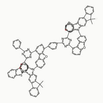 CC1(C)c2ccccc2-c2cc3c4ccccc4n(-c4ccc5oc6cccc(-c7nc(-c8ccccc8)nc(-c8ccc(-c9ccc(-c%10nc(-c%11ccccc%11)nc(-c%11ccc%12sc%13ccccc%13c%12c%11)n%10)c%10c9oc9ccc(-n%11c%12ccccc%12c%12cc%13c(cc%12%11)C(C)(C)c%11ccccc%11-%13)cc9%10)cc8)n7)c6c5c4)c3cc21